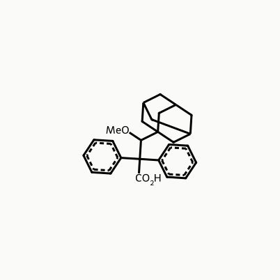 COC(C12CC3CC(CC(C3)C1)C2)C(C(=O)O)(c1ccccc1)c1ccccc1